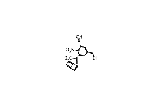 C#Cc1cc(CO)cc(NC(=O)O)c1[N+](=O)[O-].c1cc2ccc1-2